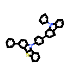 c1ccc(-c2ccc3c(c2)c2sc4ccccc4c2n3-c2ccc(-c3ccc4c5ccccc5n(-c5ccccc5)c4c3)cc2)cc1